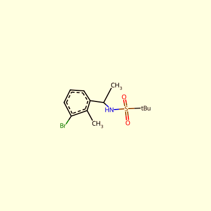 Cc1c(Br)cccc1C(C)NS(=O)(=O)C(C)(C)C